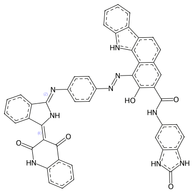 O=C1Nc2ccccc2C(=O)/C1=C1\N/C(=N\c2ccc(N=Nc3c(O)c(C(=O)Nc4ccc5[nH]c(=O)[nH]c5c4)cc4ccc5c6ccccc6[nH]c5c34)cc2)c2ccccc21